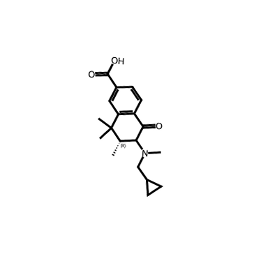 C[C@H]1C(N(C)CC2CC2)C(=O)c2ccc(C(=O)O)cc2C1(C)C